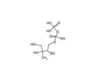 CC(O)(CO)C(O)COP(=O)(O)OP(=O)(O)O